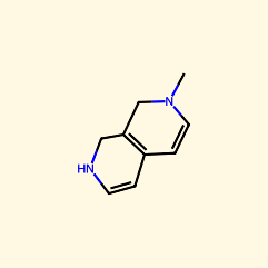 CN1C=CC2=C(CNC=C2)C1